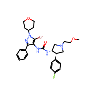 COCCN1C[C@@H](NC(=O)Nc2c(-c3ccccc3)nn(C3CCOCC3)c2Br)[C@H](c2ccc(F)cc2)C1